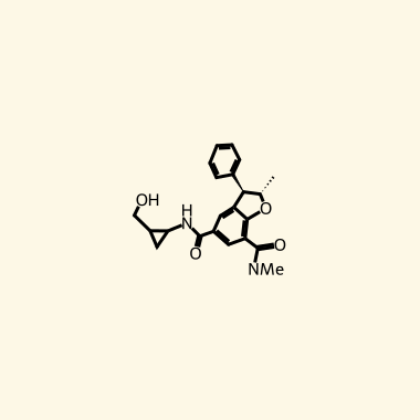 CNC(=O)c1cc(C(=O)NC2CC2CO)cc2c1O[C@@H](C)[C@@H]2c1ccccc1